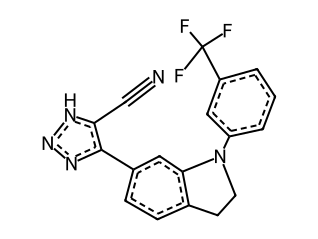 N#Cc1[nH]nnc1-c1ccc2c(c1)N(c1cccc(C(F)(F)F)c1)CC2